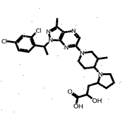 Cc1nn(C(C)c2ccc(Cl)cc2Cl)c2nc(N3CCC(N4CCCC4CC(O)C(=O)O)C(C)C3)cnc12